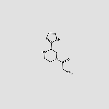 CCC(=O)N1CCNC(c2ccc[nH]2)C1